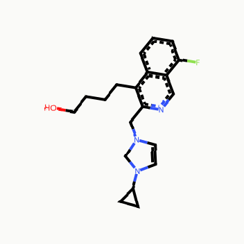 OCCCCc1c(CN2C=CN(C3CC3)C2)ncc2c(F)cccc12